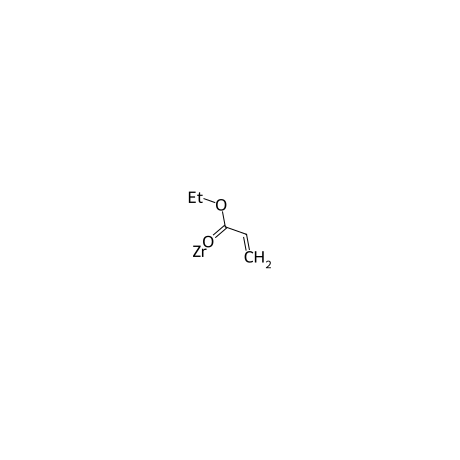 C=CC(=O)OCC.[Zr]